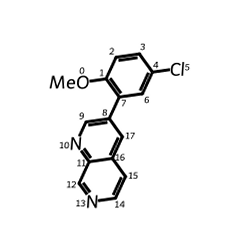 COc1ccc(Cl)cc1-c1cnc2cnccc2c1